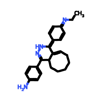 CCN=C1C=CC(=C2NN=C(c3ccc(N)cc3)C3CCCCC/C=C/23)C=C1